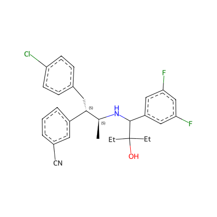 CCC(O)(CC)C(N[C@@H](C)[C@@H](Cc1ccc(Cl)cc1)c1cccc(C#N)c1)c1cc(F)cc(F)c1